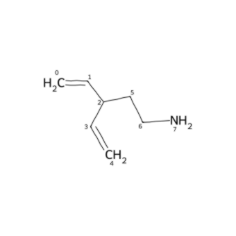 C=CC(C=C)CCN